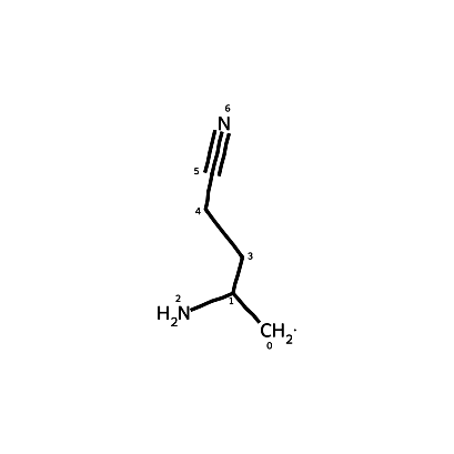 [CH2]C(N)CCC#N